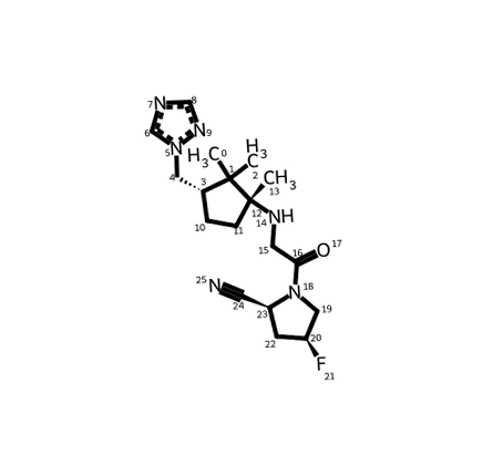 CC1(C)[C@@H](Cn2cncn2)CC[C@@]1(C)NCC(=O)N1C[C@@H](F)C[C@H]1C#N